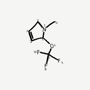 CN1CC=[C]C1OC(F)(F)F